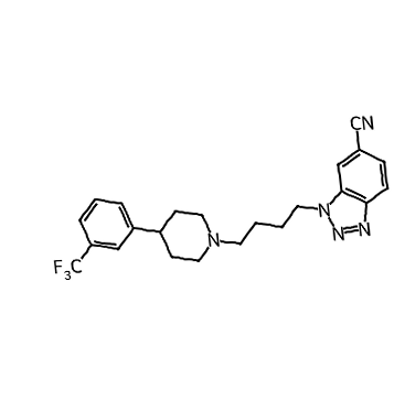 N#Cc1ccc2nnn(CCCCN3CCC(c4cccc(C(F)(F)F)c4)CC3)c2c1